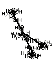 CCC(C)C(=O)NC(CCCONCCCCCCNC(=O)CCCOC1OC(CO)C(O)C(O)C1NC(C)=O)(CCCOC(=O)NCCCCCCNC(=O)CCCOC1OC(CO)C(O)C(O)C1NC(C)=O)CCCOC(=O)NCCCCCCNC(=O)CCCOC1OC(CO)C(O)C(O)C1NC(C)=O